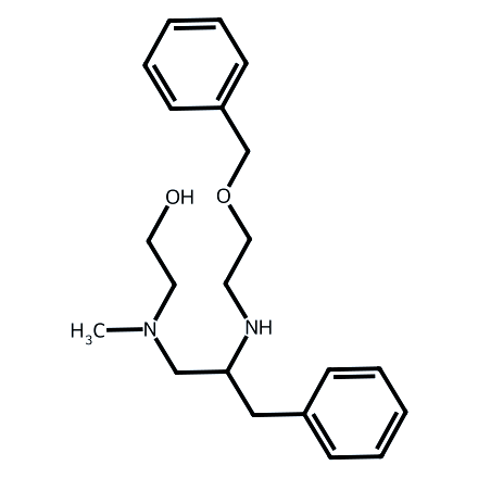 CN(CCO)CC(Cc1ccccc1)NCCOCc1ccccc1